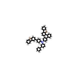 c1ccc(-c2cccc(N(c3ccc(-c4ccc5sc6ccccc6c5c4)cc3)c3ccc(-c4ccccc4-c4cccc5c4sc4ccccc45)cc3)c2)cc1